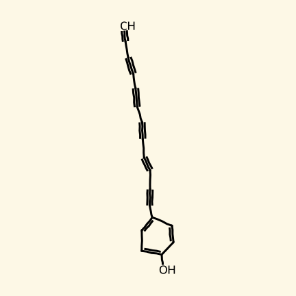 C#CC#CC#CC#CC#CC#Cc1ccc(O)cc1